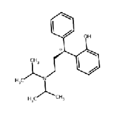 CC(C)N(CC[C@@H](c1ccccc1)c1ccccc1O)C(C)C